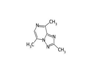 Cc1nc2c(C)ncc(C)n2n1